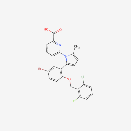 Cc1ccc(-c2cc(Br)ccc2OCc2c(F)cccc2Cl)n1-c1cccc(C(=O)O)n1